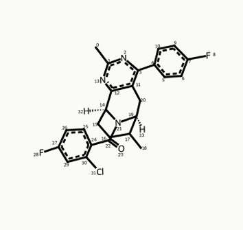 Cc1nc(-c2ccc(F)cc2)c2c(n1)[C@@H]1CCC(C)[C@H](C2)N1C(=O)c1ccc(F)cc1Cl